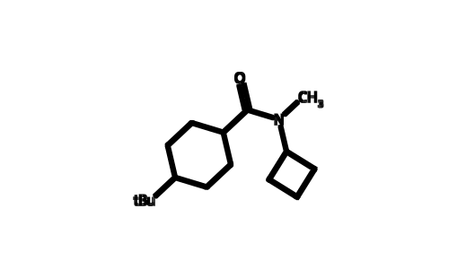 CN(C(=O)C1CCC(C(C)(C)C)CC1)C1CCC1